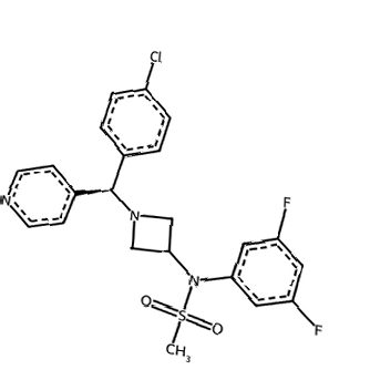 CS(=O)(=O)N(c1cc(F)cc(F)c1)C1CN([C@@H](c2ccncc2)c2ccc(Cl)cc2)C1